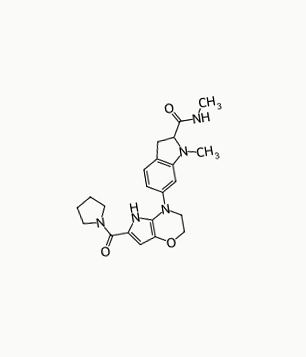 CNC(=O)C1Cc2ccc(N3CCOc4cc(C(=O)N5CCCC5)[nH]c43)cc2N1C